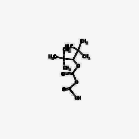 CC(C)(C)C(OC(=O)OC(=O)O)C(C)(C)C